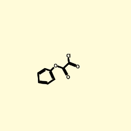 O=C(Cl)C(=O)Oc1ccccc1